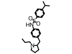 CCCN1CCCC1Cc1ccc(NS(=O)(=O)c2ccc(C(C)C)cc2)cc1